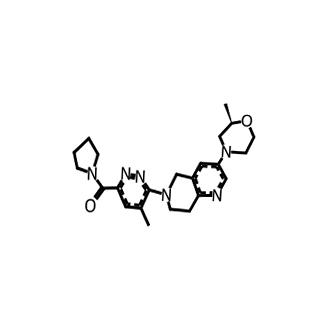 Cc1cc(C(=O)N2CCCC2)nnc1N1CCc2ncc(N3CCO[C@H](C)C3)cc2C1